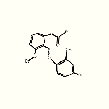 CCOc1cccc(OC(=O)CC)c1COc1ccc(CC)cc1C(F)(F)F